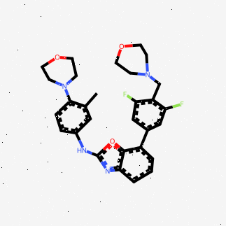 Cc1cc(Nc2nc3cccc(-c4cc(F)c(CN5CCOCC5)c(F)c4)c3o2)ccc1N1CCOCC1